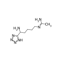 CC(N)=NCCCCC(N)c1nnn[nH]1